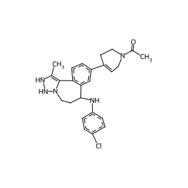 CC(=O)N1CC=C(c2ccc3c(c2)C(Nc2ccc(Cl)cc2)CCN2NNC(C)=C32)CC1